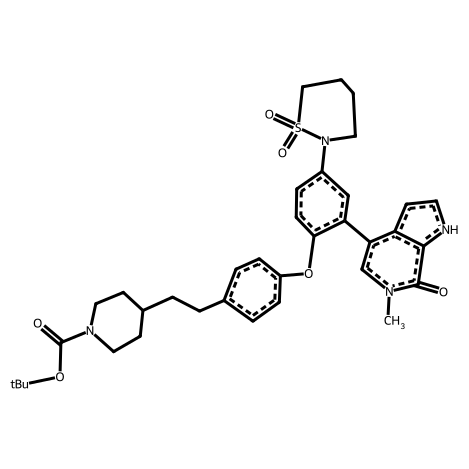 Cn1cc(-c2cc(N3CCCCS3(=O)=O)ccc2Oc2ccc(CCC3CCN(C(=O)OC(C)(C)C)CC3)cc2)c2cc[nH]c2c1=O